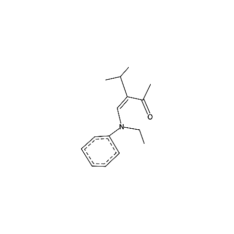 CCN(/C=C(\C(C)=O)C(C)C)c1ccccc1